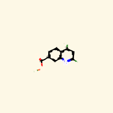 O=C(OBr)c1ccc2c(Cl)cc(Cl)nc2c1